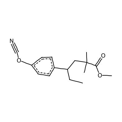 CCC(CC(C)(C)C(=O)OC)c1ccc(OC#N)cc1